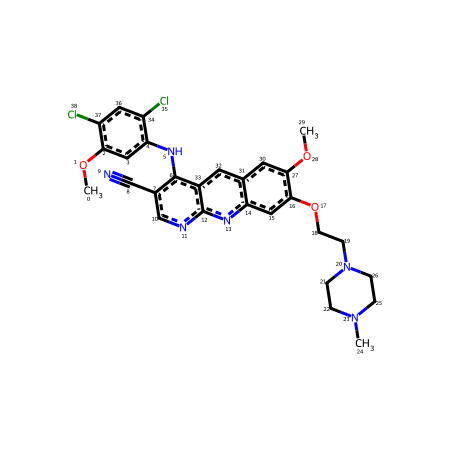 COc1cc(Nc2c(C#N)cnc3nc4cc(OCCN5CCN(C)CC5)c(OC)cc4cc23)c(Cl)cc1Cl